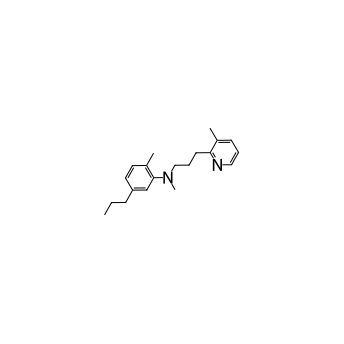 CCCc1ccc(C)c(N(C)CCCc2ncccc2C)c1